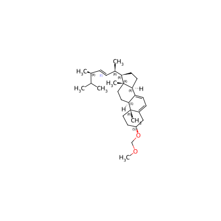 COCO[C@H]1CC[C@@]2(C)C(=CC=C3[C@@H]4CC[C@H]([C@H](C)/C=C/[C@H](C)C(C)C)[C@@]4(C)CC[C@@H]32)C1